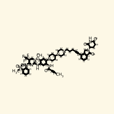 CC#CC(=O)Nc1cc(Nc2ncc(C(F)(F)F)c(Nc3ccccc3P(C)(C)=O)n2)c(OC)cc1N1CCC(N2CCN(CCCC#Cc3cccc4c3CN(C3CCC(=O)NC3=O)C4=O)CC2)CC1